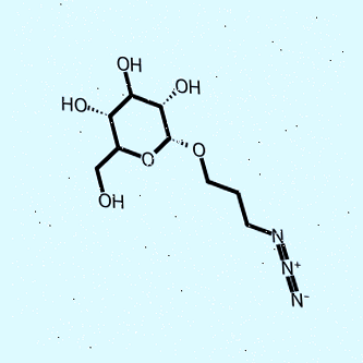 [N-]=[N+]=NCCCO[C@@H]1OC(CO)[C@H](O)C(O)[C@@H]1O